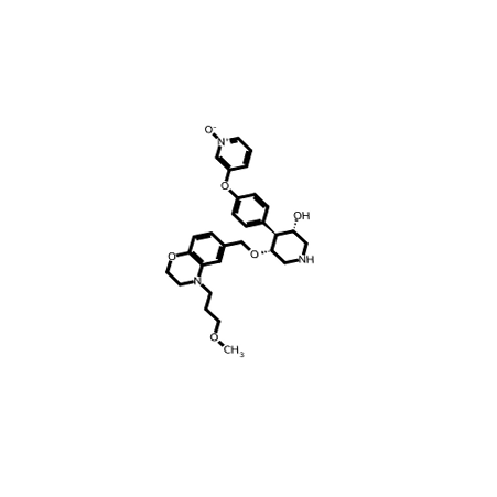 COCCCN1CCOc2ccc(CO[C@H]3CNC[C@@H](O)[C@@H]3c3ccc(Oc4ccc[n+]([O-])c4)cc3)cc21